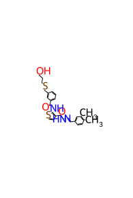 Cc1ccc(C=NNC(=O)c2ccsc2NC(=O)c2cccc(CSCCCO)c2)cc1C